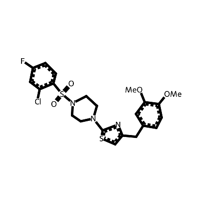 COc1ccc(Cc2csc(N3CCN(S(=O)(=O)c4ccc(F)cc4Cl)CC3)n2)cc1OC